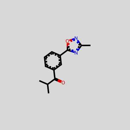 Cc1noc(-c2cccc(C(=O)C(C)C)c2)n1